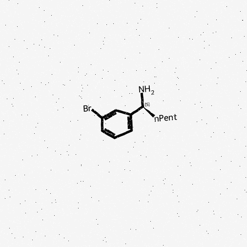 CCCCC[C@H](N)c1cccc(Br)c1